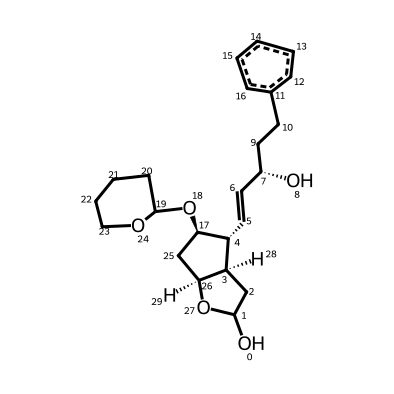 OC1C[C@@H]2[C@@H](/C=C/[C@@H](O)CCc3ccccc3)[C@H](OC3CCCCO3)C[C@@H]2O1